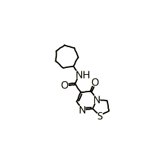 O=C(NC1CCCCCC1)c1cnc2n(c1=O)CCS2